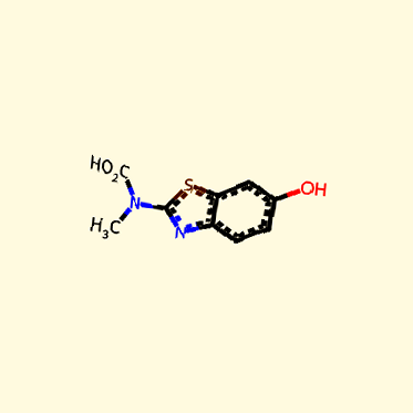 CN(C(=O)O)c1nc2ccc(O)cc2s1